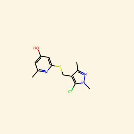 Cc1cc(O)cc(SCc2c(C)nn(C)c2Cl)n1